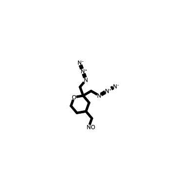 [N-]=[N+]=NCC1(CN=[N+]=[N-])CC(CN=O)CCO1